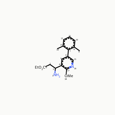 CCOC(=O)CC(N)c1cc(-c2c(C)cccc2C)cnc1OC